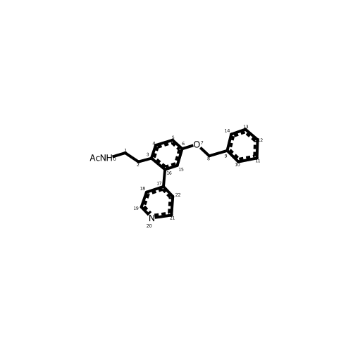 CC(=O)NCCc1ccc(OCc2ccccc2)cc1-c1ccncc1